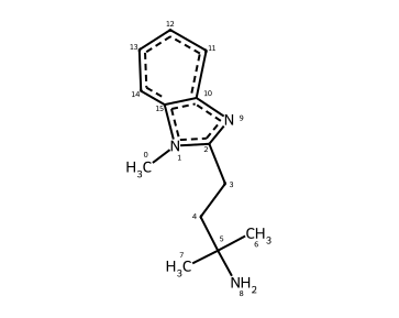 Cn1c(CCC(C)(C)N)nc2ccccc21